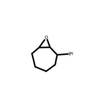 CC(C)C1CCCCC2OC21